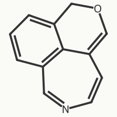 C1=CC2=COCc3cccc(c32)C=N1